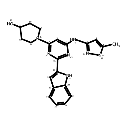 Cc1cc(Nc2cc(N3CCC(O)CC3)nc(-c3cc4ccccc4[nH]3)n2)n[nH]1